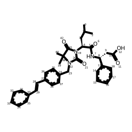 CC(C)C[C@@H](C(=O)N[C@H](CC(=O)O)c1ccccc1)N1C(=O)N(Cc2ccc(/C=C/c3ccccc3)cc2)C(C)(C)C1=O